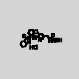 Cl.O=C(C=Cc1cnc(Nc2ccccc2NC(=O)C2CCCCC2)c(Cl)c1)NO